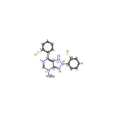 CCCCN1C=NC(c2ccccc2F)=C2NN(c3ccccc3F)N=C21